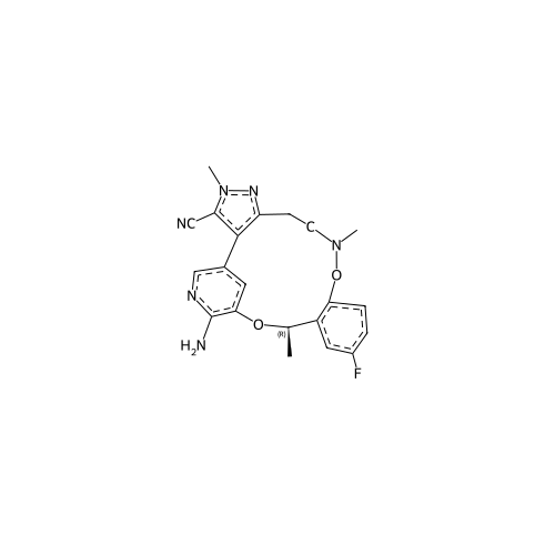 C[C@H]1Oc2cc(cnc2N)-c2c(nn(C)c2C#N)CCN(C)Oc2ccc(F)cc21